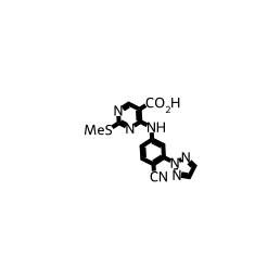 CSc1ncc(C(=O)O)c(Nc2ccc(C#N)c(-n3nccn3)c2)n1